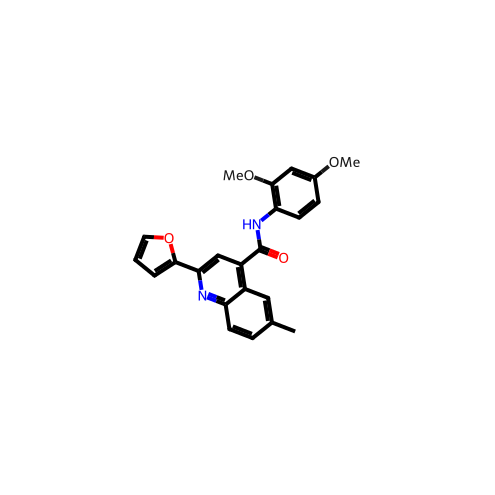 COc1ccc(NC(=O)c2cc(-c3ccco3)nc3ccc(C)cc23)c(OC)c1